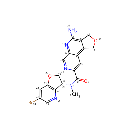 CN(C(=O)c1cc2c3c(c(N)nc2cn1)COC3)[C@H]1COc2cc(Br)cnc21